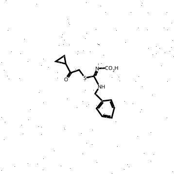 O=C(O)/N=C(\NCc1ccccc1)SCC(=O)C1CC1